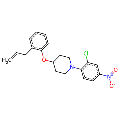 C=CCc1ccccc1OC1CCN(c2ccc([N+](=O)[O-])cc2Cl)CC1